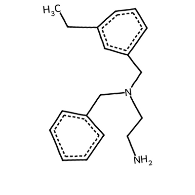 CCc1cccc(CN(CCN)Cc2ccccc2)c1